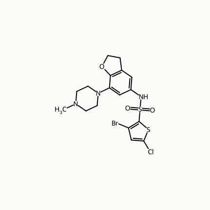 CN1CCN(c2cc(NS(=O)(=O)c3sc(Cl)cc3Br)cc3c2OCC3)CC1